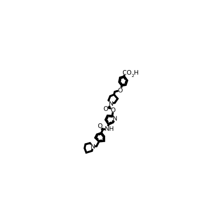 O=C(O)c1ccc(OCC2CCN(C(=O)Oc3ccc(NC(=O)c4ccc(CN5CCCCC5)cc4)cn3)CC2)cc1